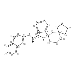 c1ccc([C@]2(CCNCc3cnc4ccccc4c3)CCOC3(CCCC3)C2)nc1